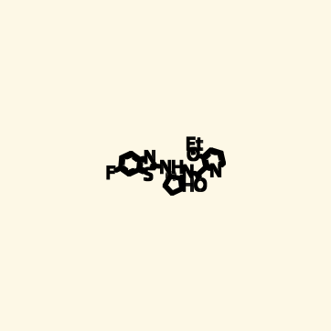 CCOc1cccnc1C(=O)NC1CCC[C@@H]1Nc1nc2ccc(F)cc2s1